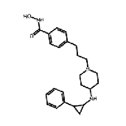 O=C(NO)c1ccc(CCCN2CCC(NC3CC3c3ccccc3)CC2)cc1